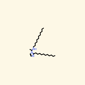 CCCCCCCCCCCCNC(C)n1ccnc1CCCCCCCCCCC